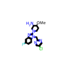 CO[C@H]1CCN(c2nc3cc(F)ccc3n2Cc2ncc(Cl)cn2)C[C@H]1N